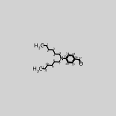 CCCCCCN(CCCCCC)c1ccc([C]=O)cc1